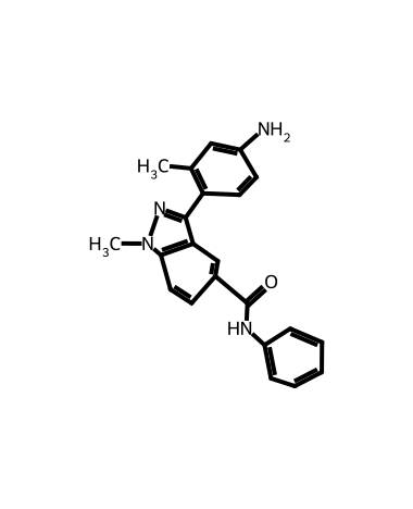 Cc1cc(N)ccc1-c1nn(C)c2ccc(C(=O)Nc3ccccc3)cc12